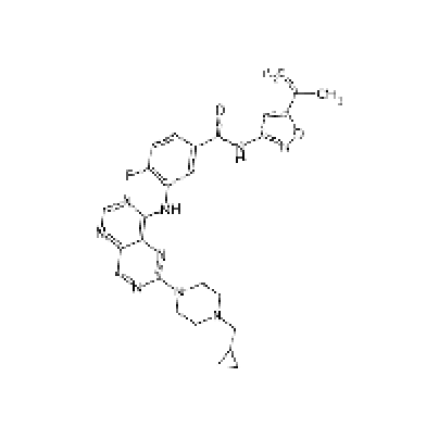 C=C(C)c1cc(NC(=O)c2ccc(F)c(Nc3ncnc4cnc(N5CCN(CC6CC6)CC5)nc34)c2)no1